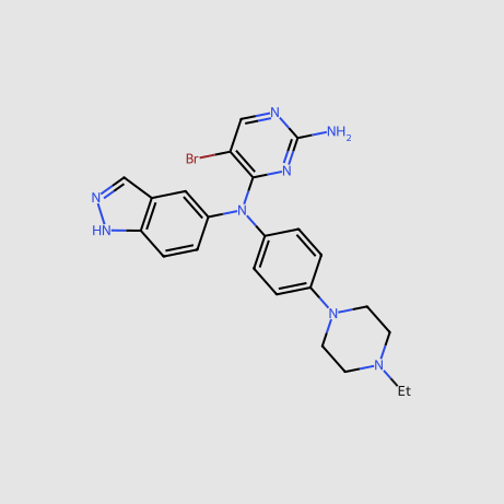 CCN1CCN(c2ccc(N(c3ccc4[nH]ncc4c3)c3nc(N)ncc3Br)cc2)CC1